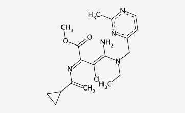 C=C(/N=C(C(=O)OC)\C(Cl)=C(/N)N(CC)Cc1ccnc(C)n1)C1CC1